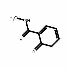 CNC(=O)C1=CC=CCC1=N